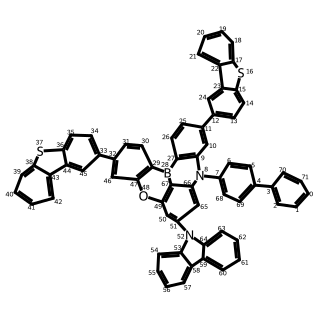 c1ccc(-c2ccc(N3c4cc(-c5ccc6sc7ccccc7c6c5)ccc4B4c5ccc(-c6ccc7sc8ccccc8c7c6)cc5Oc5cc(-n6c7ccccc7c7ccccc76)cc3c54)cc2)cc1